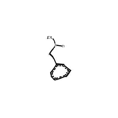 CCN([C]c1ccccc1)CC